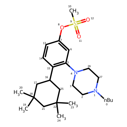 CCCCN1CCN(c2cc(OS(C)(=O)=O)ccc2C2CC(C)(C)CC(C)(C)C2)CC1